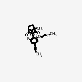 CC#Cc1cc(F)c(C2C(=O)C3CCC(C)(C2=O)C3(C)C)c(OCCOC)c1